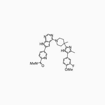 CNC(=O)c1ccc(-c2cc3c(N4CCC(C)(c5nc(C)c(-c6ccc(OC)c(F)c6)[nH]5)CC4)ncnc3[nH]2)cn1